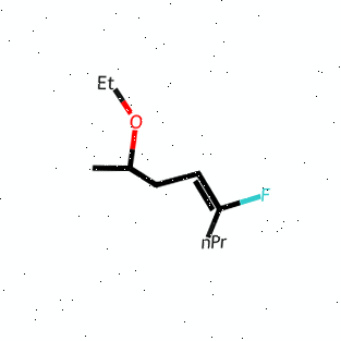 CCC/C(F)=C\CC(C)OCC